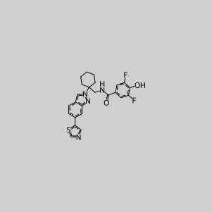 O=C(NCC1(n2cc3ccc(-c4cncs4)cc3n2)CCCCC1)c1cc(F)c(O)c(F)c1